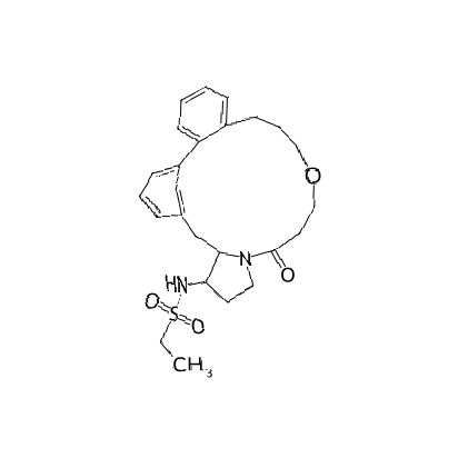 CCS(=O)(=O)NC1CCN2C(=O)CCOCCCc3ccccc3-c3cccc(c3)CC12